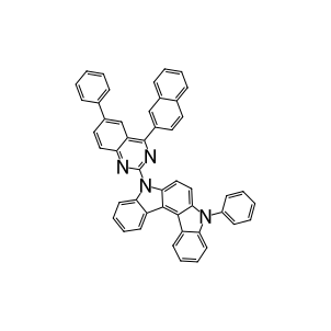 c1ccc(-c2ccc3nc(-n4c5ccccc5c5c6c7ccccc7n(-c7ccccc7)c6ccc54)nc(-c4ccc5ccccc5c4)c3c2)cc1